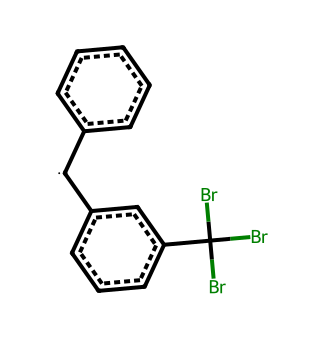 BrC(Br)(Br)c1cccc([CH]c2ccccc2)c1